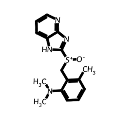 Cc1cccc(N(C)C)c1C[S+]([O-])c1nc2ncccc2[nH]1